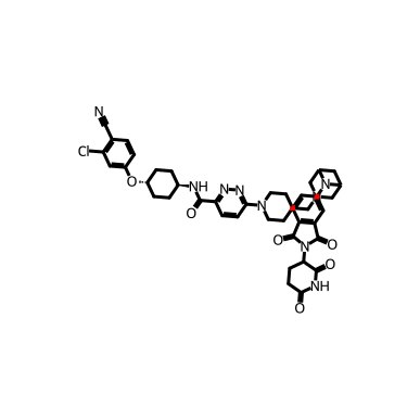 N#Cc1ccc(O[C@H]2CC[C@H](NC(=O)c3ccc(N4CCC(CN5CC6CC(C5)N6c5ccc6c(c5)C(=O)N(C5CCC(=O)NC5=O)C6=O)CC4)nn3)CC2)cc1Cl